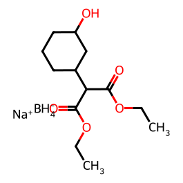 CCOC(=O)C(C(=O)OCC)C1CCCC(O)C1.[BH4-].[Na+]